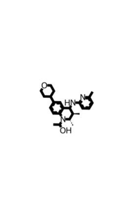 Cc1cccc(NC2c3cc(C4CCOCC4)ccc3N(C(C)O)[C@@H](C)[C@@H]2C)n1